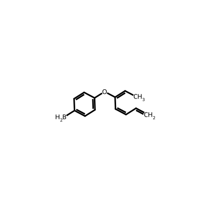 Bc1ccc(OC(/C=C\C=C)=C/C)cc1